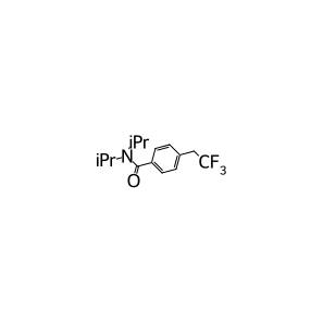 CC(C)N(C(=O)c1ccc(CC(F)(F)F)cc1)C(C)C